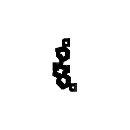 Clc1ccc(-c2ncc3ccc(Cl)cc3n2)cc1